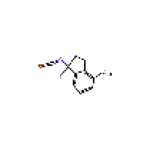 Cc1cccc2c1CCC2(I)N=C=S